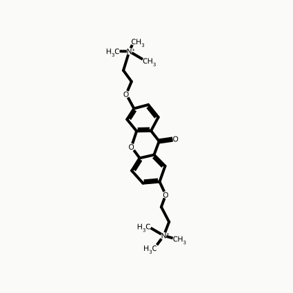 C[N+](C)(C)CCOc1ccc2c(=O)c3cc(OCC[N+](C)(C)C)ccc3oc2c1